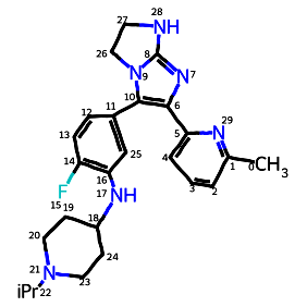 Cc1cccc(-c2nc3n(c2-c2ccc(F)c(NC4CCN(C(C)C)CC4)c2)CCN3)n1